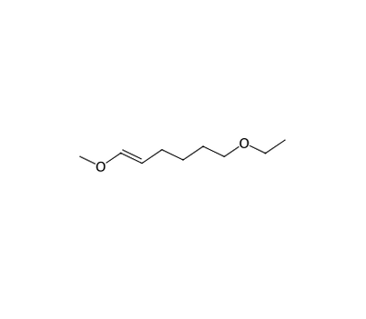 CCOCCCCC=COC